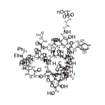 CCCCCCCCS(=O)(=O)CCCCNCc1c(O)cc2c(c1O)-c1cc(ccc1O)[C@H]1CC(=O)[C@@H]3NC(=O)[C@H](CC(=O)NC(=O)CC4CC4)CC(=O)[C@H](NC(=O)[C@H](CC)CC(C)C)[C@H](O)c4ccc(c(Cl)c4)Oc4cc3cc(c4O[C@@H]3O[C@H](CO)[C@@H](O)[C@H](O)[C@H]3O[C@H]3C[C@](C)(N)[C@H](O)[C@H](C)O3)Oc3ccc(cc3Cl)[C@@H](O)[C@H](NC1=O)C(=O)N[C@@H]2C(=O)CC1C2CC3CC(C2)CC1C3